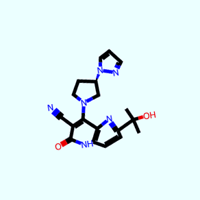 CC(C)(O)c1ccc2[nH]c(=O)c(C#N)c(N3CC[C@@H](n4cccn4)C3)c2n1